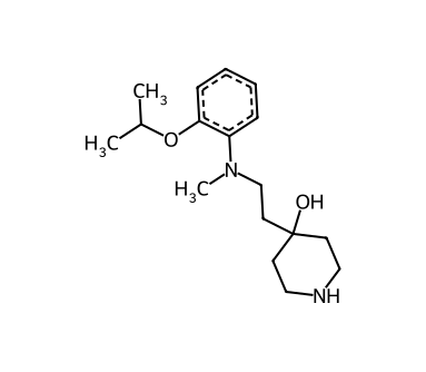 CC(C)Oc1ccccc1N(C)CCC1(O)CCNCC1